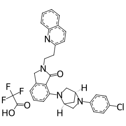 O=C(O)C(F)(F)F.O=C1c2c(cccc2N2C[C@@H]3C[C@H]2CN3c2ccc(Cl)cc2)CN1CCc1ccc2ccccc2n1